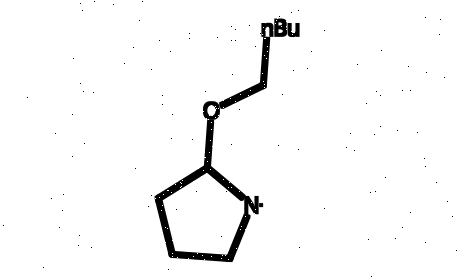 CCCCCOC1CCC[N]1